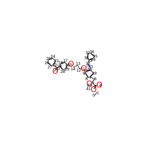 CCOC(=O)C(Cc1ccc(OCCCOc2ccc(C(=O)c3ccccc3)cc2)c(/C=C/c2ccccc2)c1)OC